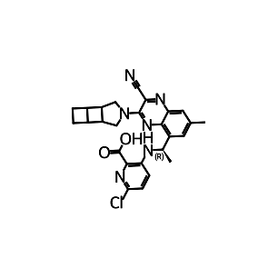 Cc1cc([C@@H](C)Nc2ccc(Cl)nc2C(=O)O)c2nc(N3CC4C5CCC5C4C3)c(C#N)nc2c1